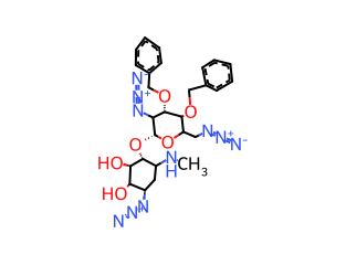 CNC1C[C@@H](N=[N+]=[N-])C(O)[C@@H](O)[C@@H]1O[C@H]1OC(CN=[N+]=[N-])[C@@H](OCc2ccccc2)[C@@H](OCc2ccccc2)C1N=[N+]=[N-]